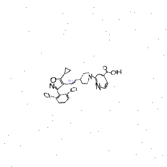 O=C(O)c1ccnc(N2CCC(/C=C/c3c(-c4c(Cl)cccc4Cl)noc3C3CC3)CC2)c1